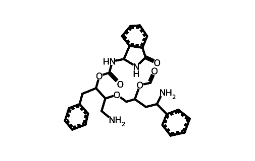 NCC(OCC(CC(N)c1ccccc1)OC=O)C(Cc1ccccc1)OC(=O)NC1NC(=O)c2ccccc21